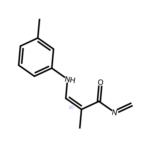 C=NC(=O)/C(C)=C\Nc1cccc(C)c1